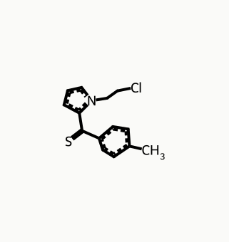 Cc1ccc(C(=S)c2cccn2CCCl)cc1